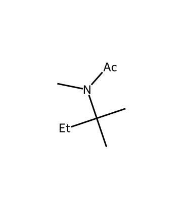 CCC(C)(C)N(C)C(C)=O